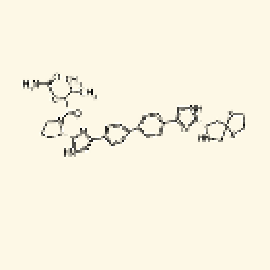 CC(C)[C@H](OC(N)=O)C(=O)N1CCC[C@H]1c1nc(-c2ccc(-c3ccc(-c4c[nH]c([C@@H]5CC6(CN5)SCCS6)n4)cc3)cc2)c[nH]1